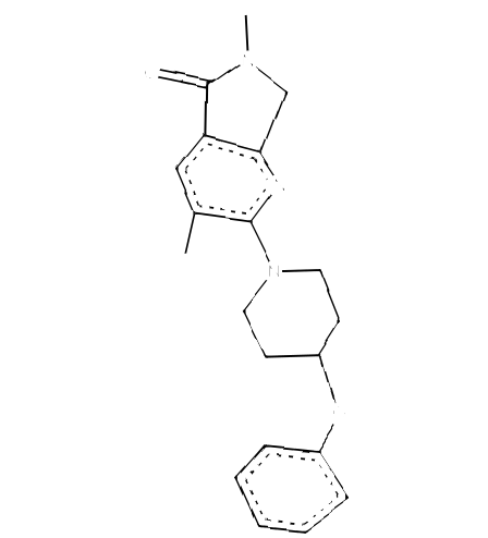 Cc1cc2c(nc1N1CCC(Oc3ccccc3)CC1)CN(C)C2=O